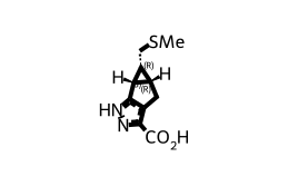 CSC[C@@H]1[C@@H]2Cc3c(C(=O)O)n[nH]c3[C@H]12